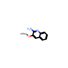 CCCCCCOc1cc2ccccc2nc1N